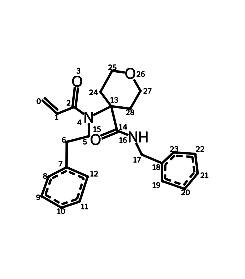 C=CC(=O)N(CCc1ccccc1)C1(C(=O)NCc2ccccc2)CCOCC1